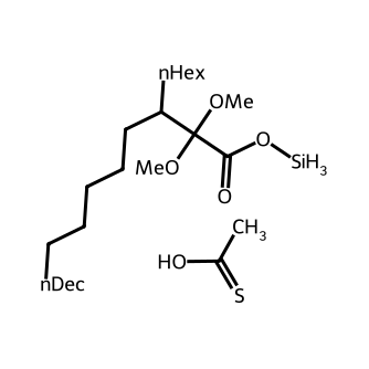 CC(O)=S.CCCCCCCCCCCCCCCC(CCCCCC)C(OC)(OC)C(=O)O[SiH3]